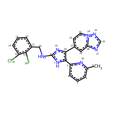 Cc1cccc(-c2[nH]c(NCc3cccc(Cl)c3F)nc2-c2ccn3ncnc3c2)n1